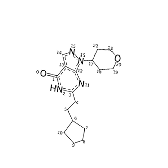 O=c1[nH]c(CCC2CCCC2)nc2c1cnn2C1CCOCC1